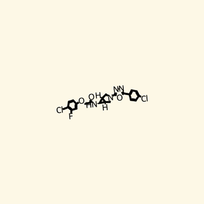 O=C(COc1ccc(Cl)c(F)c1)N[C@@H]1[C@@H]2CN(c3nnc(-c4ccc(Cl)cc4)o3)C[C@@H]21